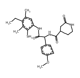 CCc1c(C)cc(NC(=O)C(NC(=O)C2CCNC(=O)C2)c2ccc(OC)cc2)c([SiH3])c1C